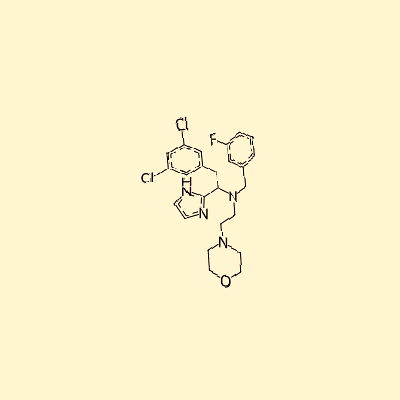 Fc1cccc(CN(CCN2CCOCC2)C(Cc2cc(Cl)cc(Cl)c2)c2ncc[nH]2)c1